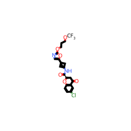 O=C1C[C@H](C(=O)NC23CC(c4cnc(OCCCOC(F)(F)F)o4)(C2)C3)Oc2ccc(Cl)cc21